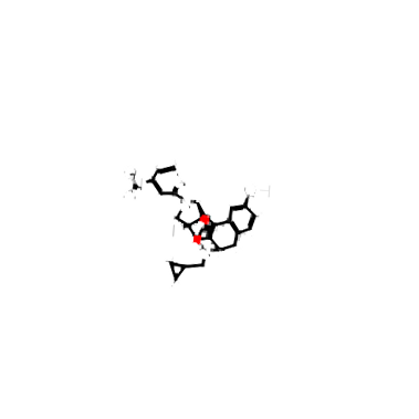 O=[N+]([O-])c1ccnc(N2C[C@H]3CC45CCC2C3C42CCN(CC3CC3)C5Cc3ccc(O)cc32)c1